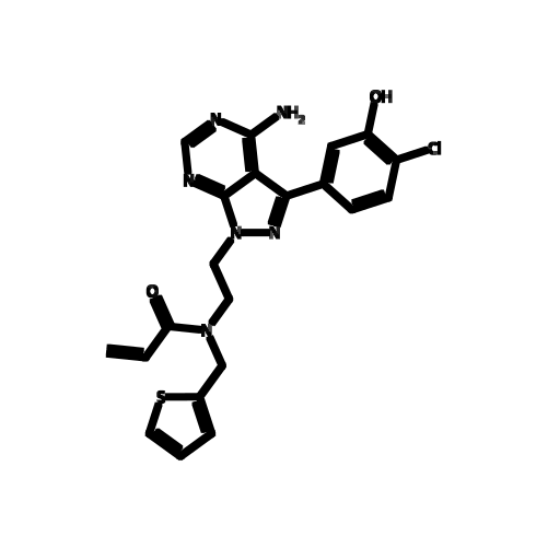 C=CC(=O)N(CCn1nc(-c2ccc(Cl)c(O)c2)c2c(N)ncnc21)Cc1cccs1